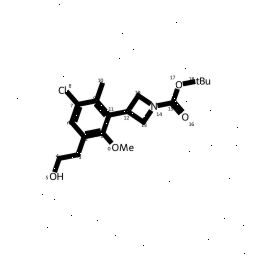 COc1c(CCO)cc(Cl)c(C)c1C1CN(C(=O)OC(C)(C)C)C1